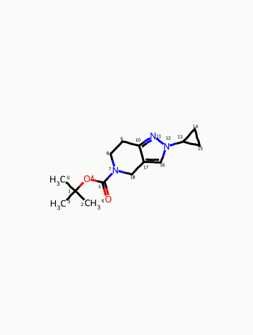 CC(C)(C)OC(=O)N1CCc2nn(C3CC3)cc2C1